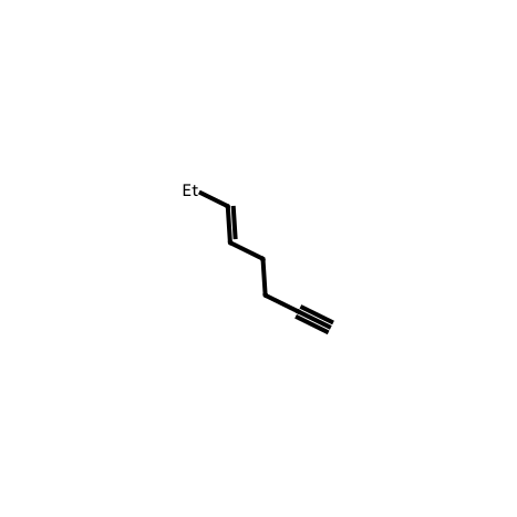 C#CCCC=CCC